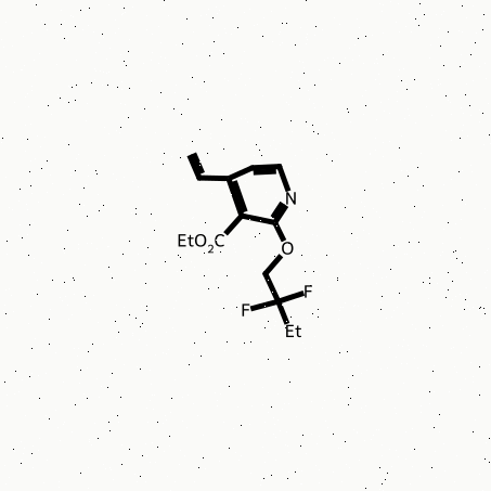 C=Cc1ccnc(OCC(F)(F)CC)c1C(=O)OCC